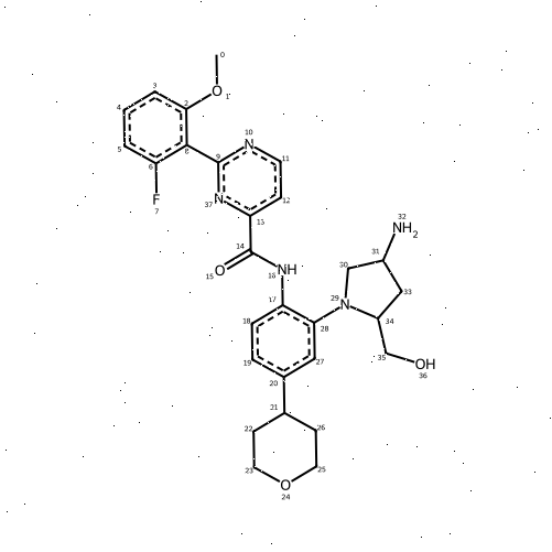 COc1cccc(F)c1-c1nccc(C(=O)Nc2ccc(C3CCOCC3)cc2N2CC(N)CC2CO)n1